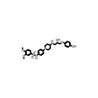 COc1ccc(S(=O)(=O)Nc2ccc(N3CCC(NC[C@H](O)COc4ccc(O)cc4)CC3)cc2)cc1OC